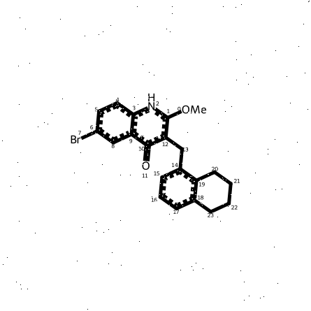 COc1[nH]c2ccc(Br)cc2c(=O)c1Cc1cccc2c1CCCC2